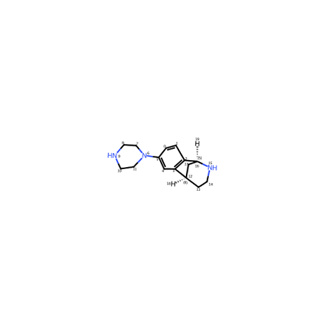 c1cc2c(cc1N1CCNCC1)[C@@H]1CCN[C@H]2C1